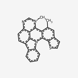 Cc1cc2ccsc2c2c1c1c3c(ccc4c5ccccc5n2c43)nc[n+]1C